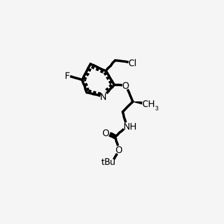 C[C@@H](CNC(=O)OC(C)(C)C)Oc1ncc(F)cc1CCl